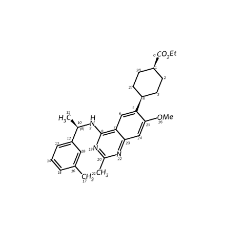 CCOC(=O)[C@H]1CC[C@@H](c2cc3c(N[C@H](C)c4cccc(C)c4)nc(C)nc3cc2OC)CC1